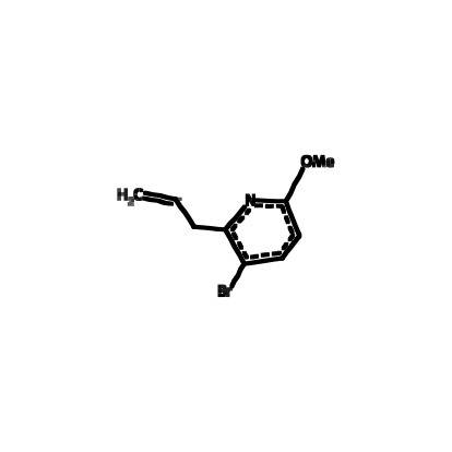 C=[C]Cc1nc(OC)ccc1Br